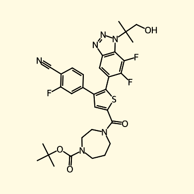 CC(C)(C)OC(=O)N1CCCN(C(=O)c2cc(-c3ccc(C#N)c(F)c3)c(-c3cc4nnn(C(C)(C)CO)c4c(F)c3F)s2)CC1